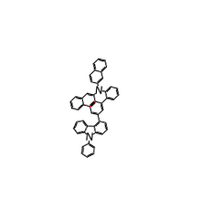 c1ccc(-n2c3ccccc3c3c(-c4cccc(-c5ccccc5N(c5ccc6ccccc6c5)c5ccc6ccccc6c5)c4)cccc32)cc1